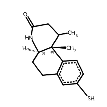 CC1CC(=O)N[C@@H]2CCc3cc(S)ccc3[C@@]12C